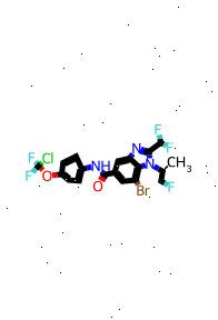 C[C@H](CF)n1c(C(F)F)nc2cc(C(=O)Nc3ccc(OC(F)(F)Cl)cc3)cc(Br)c21